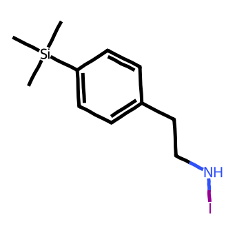 C[Si](C)(C)c1ccc(CCNI)cc1